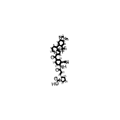 Cn1cnc2cc(-c3cccn4c(C(=O)c5ccc(NC(=O)/C=C/[C@@H]6CCCN6C(=O)O)c(C#N)c5)ccc34)c(C(F)(F)F)cc21